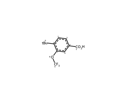 CC(C)(C)c1ccc(C(=O)O)cc1OC(F)(F)F